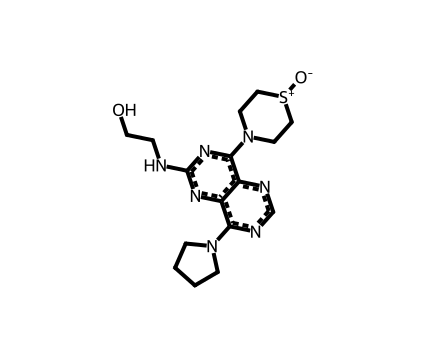 [O-][S+]1CCN(c2nc(NCCO)nc3c(N4CCCC4)ncnc23)CC1